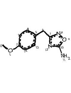 COc1ccc(Cc2noc(N)n2)cc1